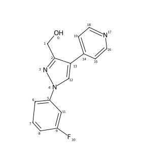 OCc1nn(-c2cccc(F)c2)cc1-c1ccncc1